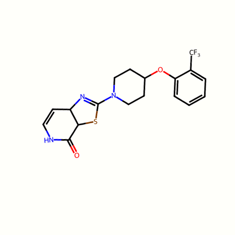 O=C1NC=CC2N=C(N3CCC(Oc4ccccc4C(F)(F)F)CC3)SC12